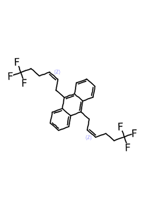 FC(F)(F)CC/C=C\Cc1c2ccccc2c(C/C=C\CCC(F)(F)F)c2ccccc12